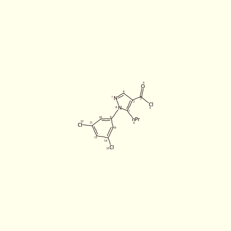 CCCc1c(C(=O)Cl)cnn1-c1cc(Cl)cc(Cl)c1